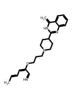 C=C1NC(C2CCN(CCCO/C(C=N)=C/C=C/C)CC2)=Nc2ccccc21